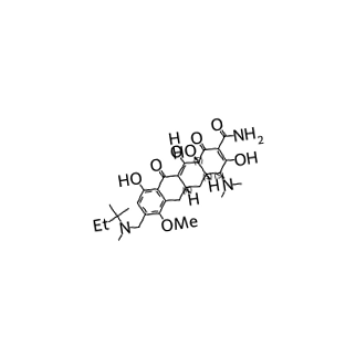 CCC(C)(C)N(C)Cc1cc(O)c2c(c1OC)C[C@H]1C[C@H]3[C@H](N(C)C)C(O)=C(C(N)=O)C(=O)[C@@]3(O)C(O)=C1C2=O